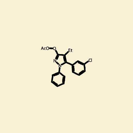 CCc1c(OOC(C)=O)nn(-c2ccccc2)c1-c1cccc(Cl)c1